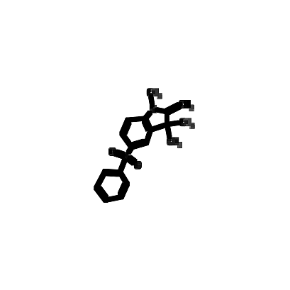 C=C1N(C)c2ccc(S(=O)(=O)c3ccccc3)cc2C1(C)C